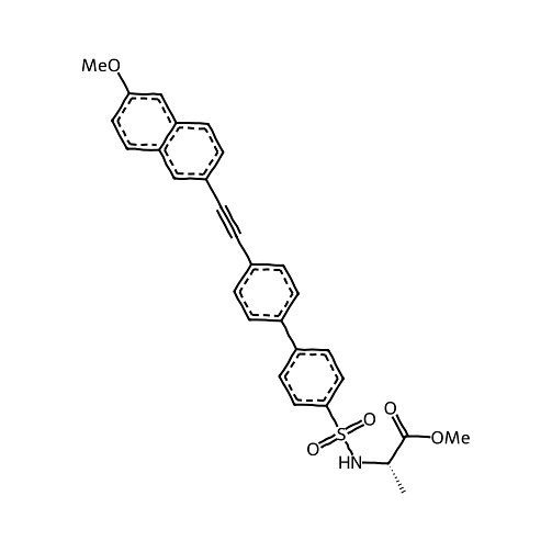 COC(=O)[C@H](C)NS(=O)(=O)c1ccc(-c2ccc(C#Cc3ccc4cc(OC)ccc4c3)cc2)cc1